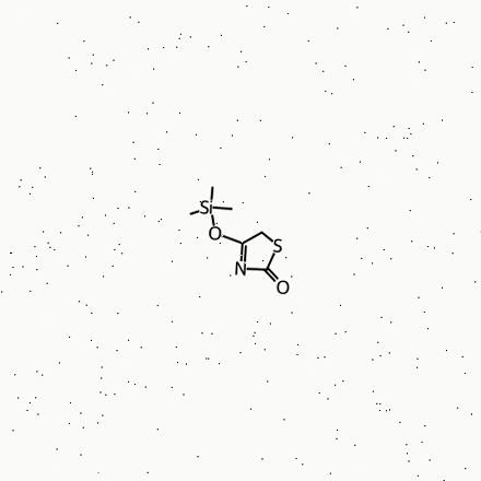 C[Si](C)(C)OC1=NC(=O)SC1